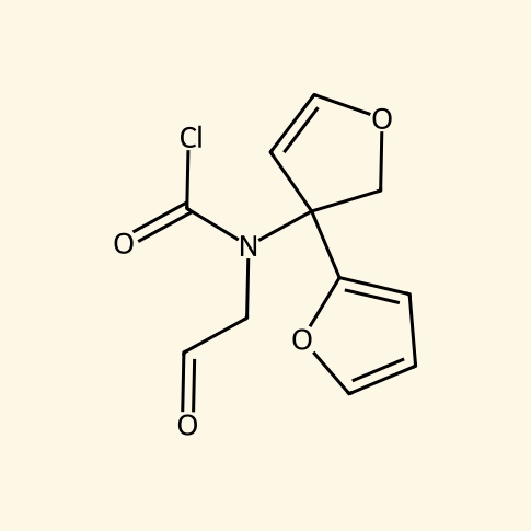 O=CCN(C(=O)Cl)C1(c2ccco2)C=COC1